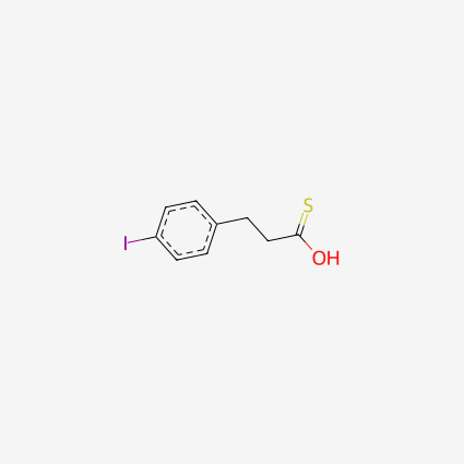 OC(=S)CCc1ccc(I)cc1